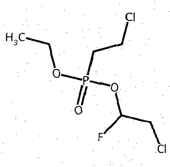 CCOP(=O)(CCCl)OC(F)CCl